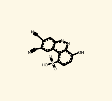 N#Cc1cc2nnc3c(O)ccc(S(=O)(=O)O)c3c2cc1C#N